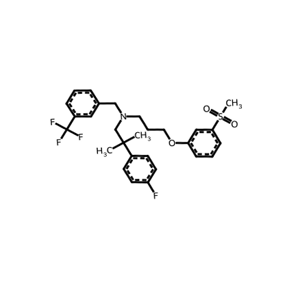 CC(C)(CN(CCCOc1cccc(S(C)(=O)=O)c1)Cc1cccc(C(F)(F)F)c1)c1ccc(F)cc1